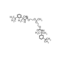 C=C(C)c1cccc(C(C)(C)NC(=O)OCCOC(C)OCCOC(=O)NC(C)(C)c2cccc(C(=C)C)c2)c1